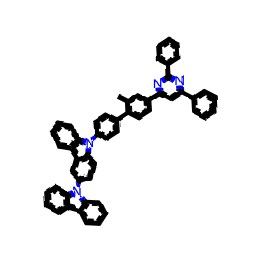 Cc1cc(-c2cc(-c3ccccc3)nc(-c3ccccc3)n2)ccc1-c1ccc(-n2c3ccccc3c3cc(-n4c5ccccc5c5ccccc54)ccc32)cc1